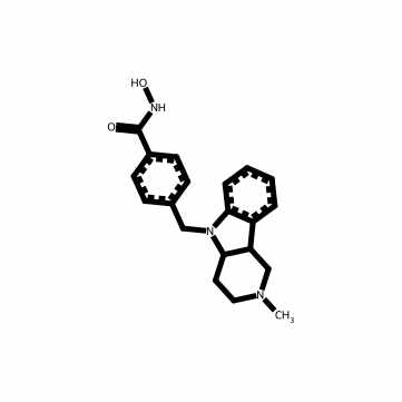 CN1CCC2C(C1)c1ccccc1N2Cc1ccc(C(=O)NO)cc1